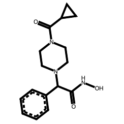 O=C(NO)C(c1ccccc1)N1CCN(C(=O)C2CC2)CC1